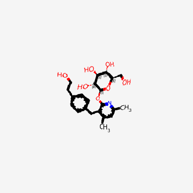 Cc1cc(C)c(Cc2ccc(CCO)cc2)c(O[C@@H]2O[C@H](CO)[C@@H](O)[C@H](O)[C@H]2O)n1